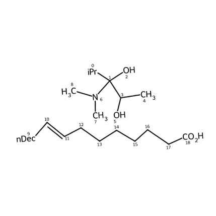 CC(C)C(O)(C(C)O)N(C)C.CCCCCCCCCCC=CCCCCCCC(=O)O